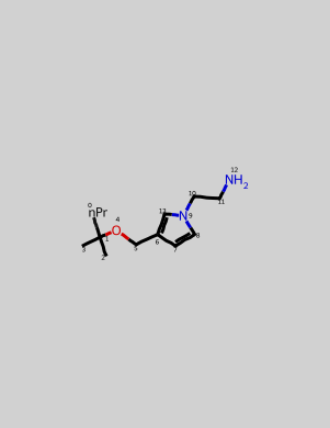 CCCC(C)(C)OCc1ccn(CCN)c1